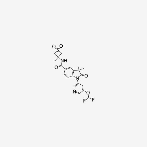 CC1(NC(=O)c2ccc3c(c2)C(C)(C)C(=O)N3c2cncc(OC(F)F)c2)CS(=O)(=O)C1